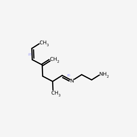 C=C(/C=C\C)CC(C)/C=N/CCN